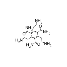 NCCc1c(C(N)=O)c(CCN)c(C(N)=O)c(CCN)c1C(N)=O